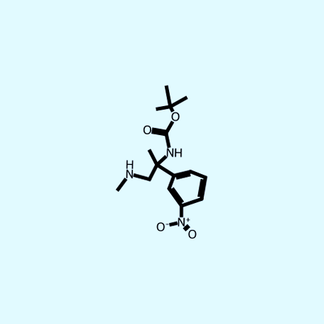 CNCC(C)(NC(=O)OC(C)(C)C)c1cccc([N+](=O)[O-])c1